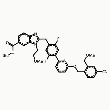 COCCn1c(Cc2cc(F)c(-c3cccc(OCc4ccc(C#N)cc4COC)n3)cc2F)nc2ccc(C(=O)OC(C)(C)C)cc21